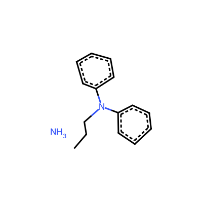 CCCN(c1ccccc1)c1ccccc1.N